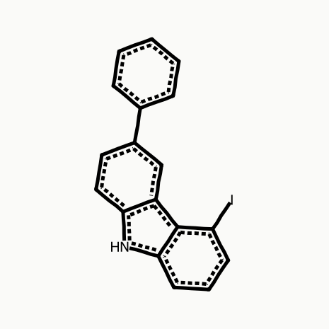 Ic1cccc2[nH]c3ccc(-c4ccccc4)cc3c12